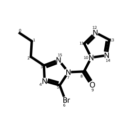 CCCc1nc(Br)n(C(=O)n2cncn2)n1